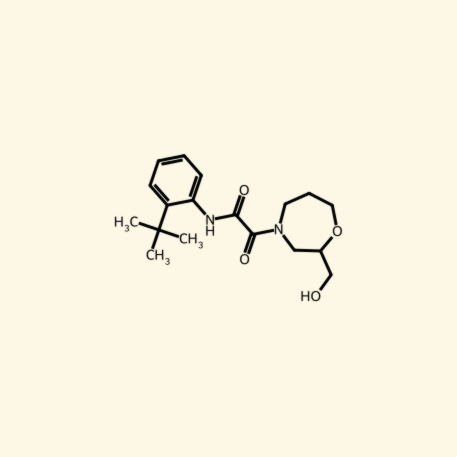 CC(C)(C)c1ccccc1NC(=O)C(=O)N1CCCOC(CO)C1